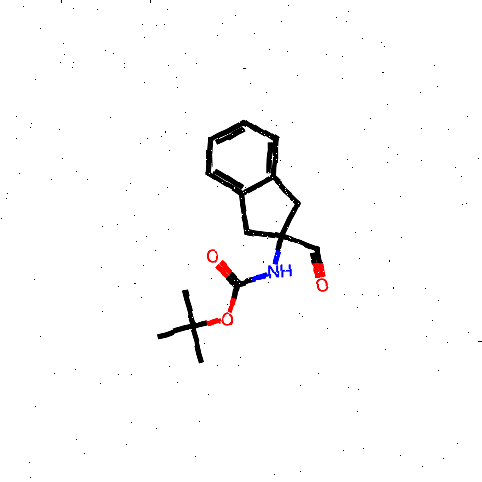 CC(C)(C)OC(=O)NC1(C=O)Cc2ccccc2C1